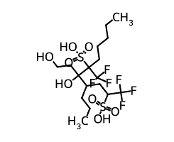 CCCCCC(C(F)(F)F)(C(O)(CCO)C(CCC)CC(C(F)(F)F)S(=O)(=O)O)S(=O)(=O)O